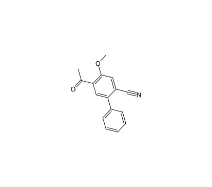 COc1cc(C#N)c(-c2ccccc2)cc1C(C)=O